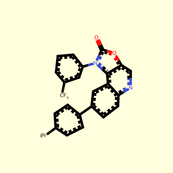 CC(C)c1ccc(-c2ccc3ncc4oc(=O)n(-c5cccc(C(F)(F)F)c5)c4c3c2)cc1